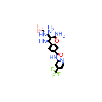 BCN/C(N)=C(\C(=N)c1ccc(C(=O)Nc2cc(C(F)(F)F)ccn2)cc1)C(N)=O